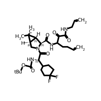 C=CCCC(NC(=O)[C@@H]1[C@H]2[C@@H](CN1C(=O)[C@@H](NC(=O)OC(C)(C)C)C1CCC(F)(F)CC1)C2(C)C)C(=O)C(=O)NCC=C